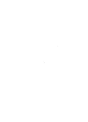 C=CCON=Cc1ccccc1